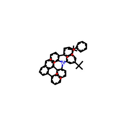 CC(C)(C)c1cc(N(c2ccccc2-c2ccc(-c3ccccc3)cc2)c2ccccc2-c2cccc3cccc(-c4ccccc4)c23)cc(C(C)(C)C)c1